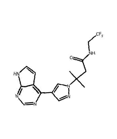 CC(C)(CC(=O)NCC(F)(F)F)n1cc(-c2ncnc3[nH]ccc23)cn1